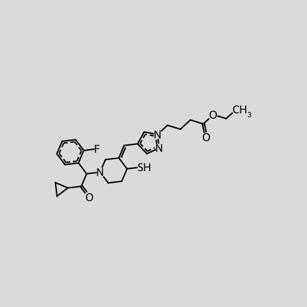 CCOC(=O)CCCn1cc(C=C2CN(C(C(=O)C3CC3)c3ccccc3F)CCC2S)cn1